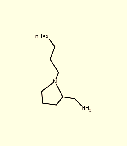 CCCCCCCCCN1CCCC1CN